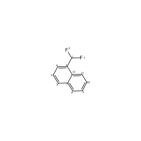 FC(F)c1cc[c]c2ccccc12